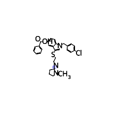 CN1CCC/C1=N\CCSc1cn(Cc2ccc(Cl)cc2)c2ccccc12.O=C(O)c1ccccc1